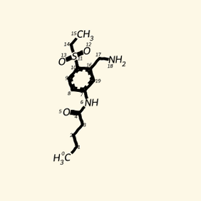 CCCCC(=O)Nc1ccc(S(=O)(=O)CC)c(CN)c1